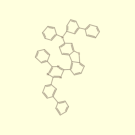 c1ccc(-c2cccc(-c3nc(-c4ccccc4)nc(-c4cccc5sc6cc(N(c7ccccc7)c7cccc(-c8ccccc8)c7)ccc6c45)n3)c2)cc1